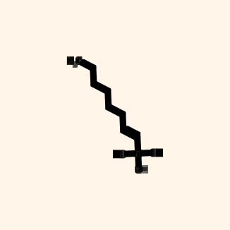 CCCCCCC=C[Si](O)(O)O